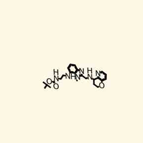 Cn1c(CNC2CCOc3cccnc32)nc2cccc(NCCNC(=O)OC(C)(C)C)c21